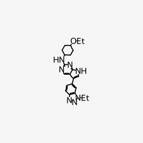 CCOC1CCC(Nc2ncc3c(-c4ccc5nnn(CC)c5c4)c[nH]c3n2)CC1